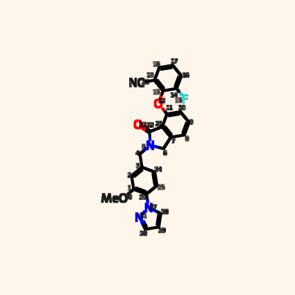 COc1cc(CN2Cc3cccc(Oc4c(F)cccc4C#N)c3C2=O)ccc1-n1cccn1